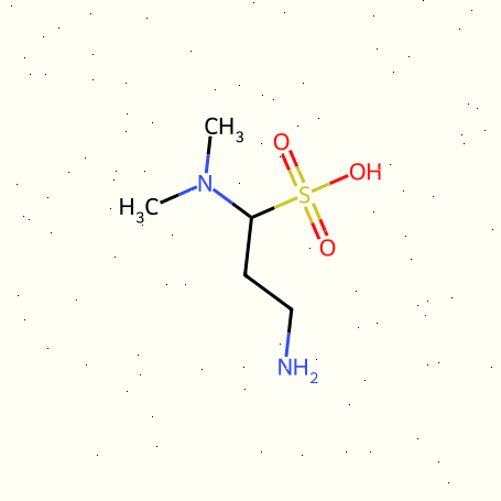 CN(C)C(CCN)S(=O)(=O)O